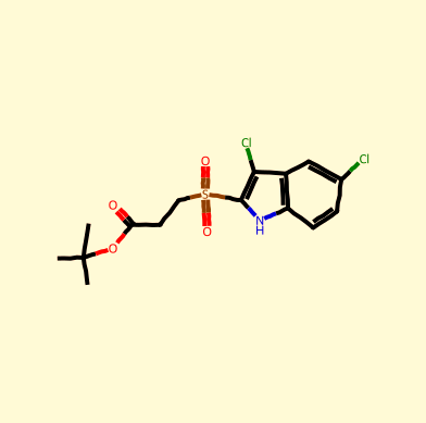 CC(C)(C)OC(=O)CCS(=O)(=O)c1[nH]c2ccc(Cl)cc2c1Cl